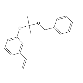 C=Cc1cccc(OC(C)(C)OCc2ccccc2)c1